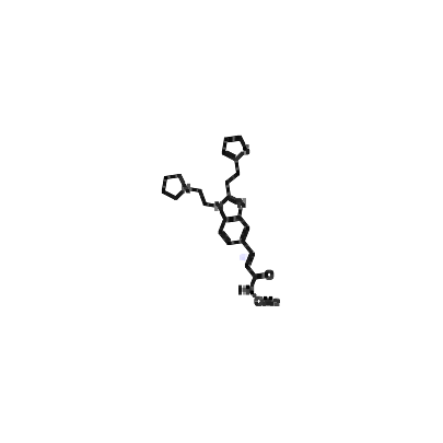 CONC(=O)/C=C/c1ccc2c(c1)nc(CCc1cccs1)n2CCN1CCCC1